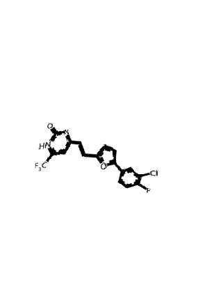 O=c1nc(C=Cc2ccc(-c3ccc(F)c(Cl)c3)o2)cc(C(F)(F)F)[nH]1